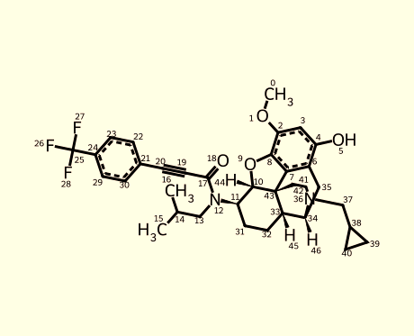 COc1cc(O)c2c3c1O[C@H]1[C@H](N(CC(C)C)C(=O)C#Cc4ccc(C(F)(F)F)cc4)CC[C@H]4[C@@H](C2)N(CC2CC2)CC[C@@]341